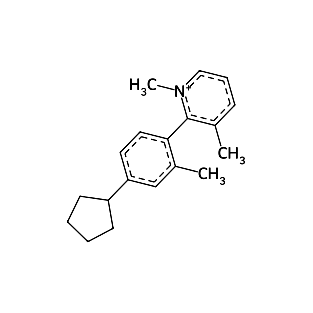 Cc1cc(C2CCCC2)ccc1-c1c(C)ccc[n+]1C